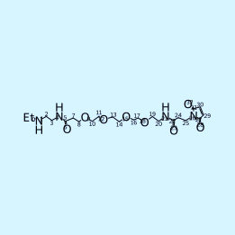 CCNCCNC(=O)CCOCCOCCOCCOCCNC(=O)CCN1C(=O)C=CC1=O